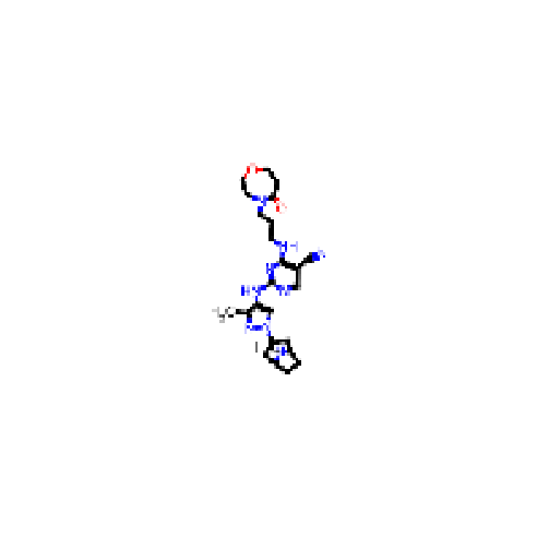 Cc1nn(C2CC3CCC(C2)N3C)cc1Nc1ncc(C#N)c(NCCCN2CCOCCC2=O)n1